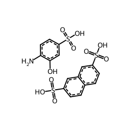 Nc1ccc(S(=O)(=O)O)cc1O.O=S(=O)(O)c1ccc2ccc(S(=O)(=O)O)cc2c1